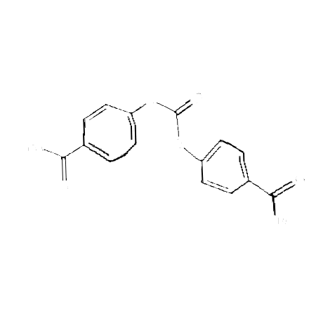 CC(C)(C)C(=O)c1ccc(OC(=O)Oc2ccc(C(=O)C(C)(C)C)cc2)cc1